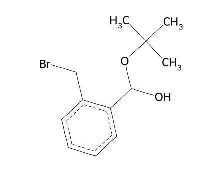 CC(C)(C)OC(O)c1ccccc1CBr